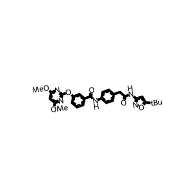 COc1cc(OC)nc(Oc2cccc(C(=O)Nc3ccc(CC(=O)Nc4cc(C(C)(C)C)on4)cc3)c2)n1